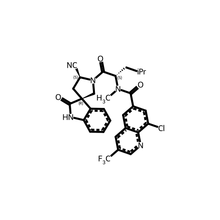 CC(C)C[C@@H](C(=O)N1C[C@]2(C[C@H]1C#N)C(=O)Nc1ccccc12)N(C)C(=O)c1cc(Cl)c2ncc(C(F)(F)F)cc2c1